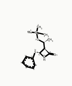 C[C@@H](O[Si](C)(C)C(C)(C)C)[C@H]1C(=O)N[C@@H]1Sc1ccccc1